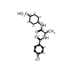 CC(NC(=O)c1ccc(Cl)cc1)C(=O)NC1CCC(C(=O)O)CC1